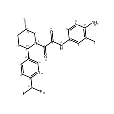 Cc1cc(NC(=O)C(=O)N2C[C@@H](C)CC[C@@H]2c2ccc(C(F)F)nc2)cnc1N